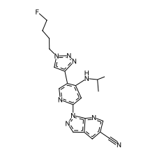 CC(C)Nc1cc(-n2ncc3cc(C#N)cnc32)ncc1-c1cn(CCCCF)nn1